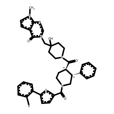 Cn1ccc2c(=O)n(CC3(O)CCN(C(=O)[C@@H]4CCN(C(=O)c5ccc(-c6ccccc6F)s5)C[C@H]4c4ccccc4)CC3)cnc21